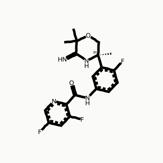 CC1(C)OC[C@@](C)(c2cc(NC(=O)c3ncc(F)cc3F)ccc2F)NC1=N